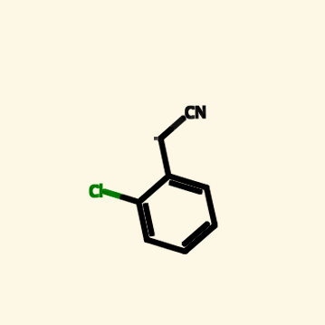 N#C[CH]c1ccccc1Cl